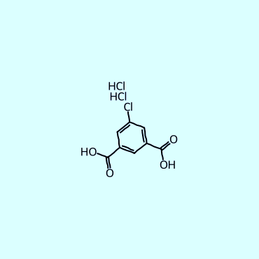 Cl.Cl.O=C(O)c1cc(Cl)cc(C(=O)O)c1